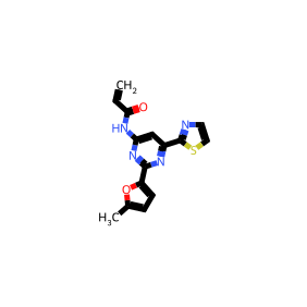 C=CC(=O)Nc1cc(-c2nccs2)nc(-c2ccc(C)o2)n1